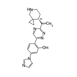 C=C(c1ncc(-c2ccc(-n3ccnc3)cc2O)nn1)[C@@H]1CCNCC12CC2